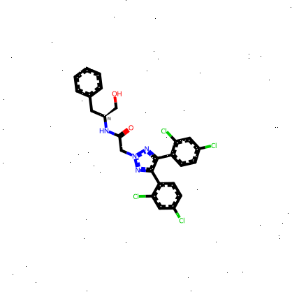 O=C(Cn1nc(-c2ccc(Cl)cc2Cl)c(-c2ccc(Cl)cc2Cl)n1)N[C@H](CO)Cc1ccccc1